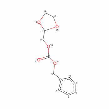 O=C(OCc1ccccc1)OCC1OCCO1